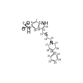 CS(=O)(=O)Nc1ccc2[nH]cc(CSCCN3CC=C(c4ccccc4)CC3)c2c1